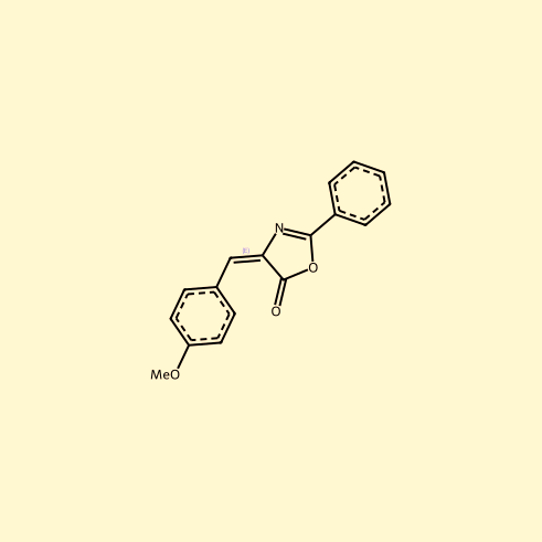 COc1ccc(/C=C2/N=C(c3ccccc3)OC2=O)cc1